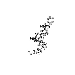 Cc1ccc(-c2cccc3[nH]c(-c4n[nH]c5ncc(-c6cncc(NC(=O)CC7CCCCC7)c6)cc45)cc23)s1